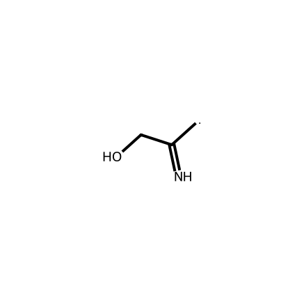 [CH2]C(=N)CO